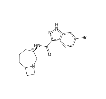 O=C(N[C@@H]1CCCC2CCN2C1)c1n[nH]c2cc(Br)ccc12